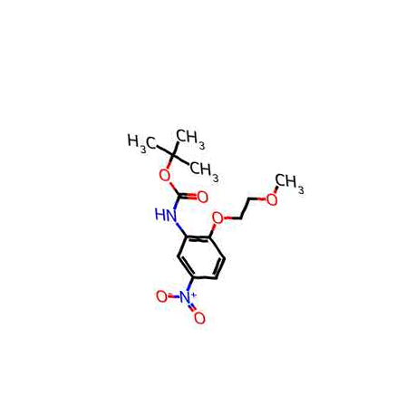 COCCOc1ccc([N+](=O)[O-])cc1NC(=O)OC(C)(C)C